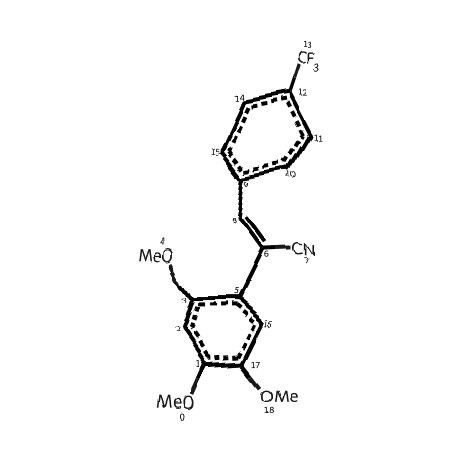 COc1cc(OC)c(C(C#N)=Cc2ccc(C(F)(F)F)cc2)cc1OC